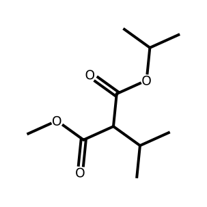 COC(=O)C(C(=O)OC(C)C)C(C)C